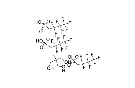 CC(CO)(CO)CO.O=S(=O)(O)CC(F)(F)C(F)(F)C(F)(F)F.O=S(=O)(O)CC(F)(F)C(F)(F)C(F)(F)F.O=S(=O)(O)CC(F)(F)C(F)(F)C(F)(F)F